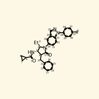 CC[C@@H]1[C@@H](NC(=O)C2CC2)C(Cc2ccccc2)C(=O)N1c1ccc2c(cnn2-c2ccc(F)cc2)c1